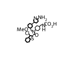 COc1ccc(-c2ccc(N)nc2)cc1CN(C(=O)c1sc2ccccc2c1Cl)C1CCC(CNC(=O)O)CC1